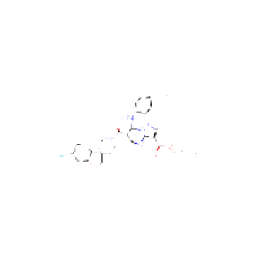 CCOC(=O)c1cnn2c(Nc3ccc(C)c(F)c3)c(C(=O)N3CCC4(CC3)COc3cc(F)ccc34)cnc12